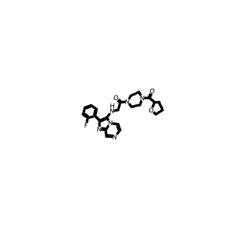 O=C(CNc1c(-c2ccccc2F)nc2cnccn12)N1CCN(C(=O)C2CCCO2)CC1